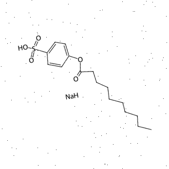 CCCCCCCCCC(=O)Oc1ccc(S(=O)(=O)O)cc1.[NaH]